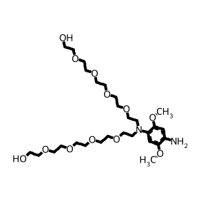 COc1cc(N(CCOCCOCCOCCOCCO)CCOCCOCCOCCOCCO)c(OC)cc1N